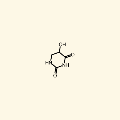 O=C1NCC(O)C(=O)N1